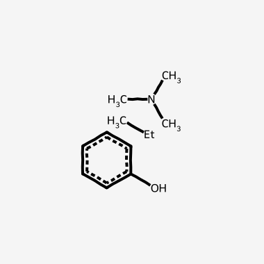 CCC.CN(C)C.Oc1ccccc1